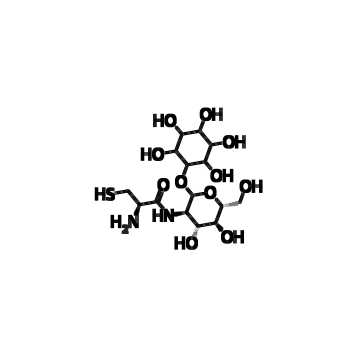 N[C@@H](CS)C(=O)N[C@H]1C(OC2C(O)C(O)C(O)C(O)C2O)O[C@H](CO)[C@@H](O)[C@@H]1O